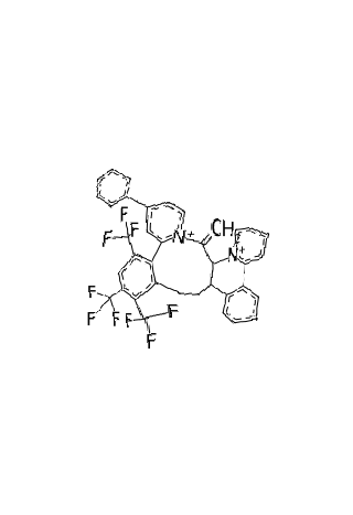 C=C1C2C(CCc3c(c(C(F)(F)F)cc(C(F)(F)F)c3C(F)(F)F)-c3cc(-c4ccccc4)cc[n+]31)c1ccccc1-c1cccc[n+]12